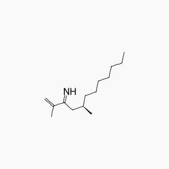 C=C(C)C(=N)C[C@H](C)CCCCCCC